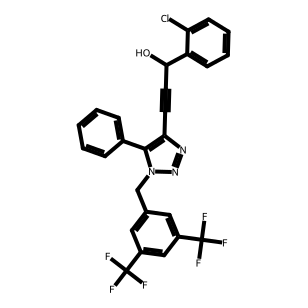 OC(C#Cc1nnn(Cc2cc(C(F)(F)F)cc(C(F)(F)F)c2)c1-c1ccccc1)c1ccccc1Cl